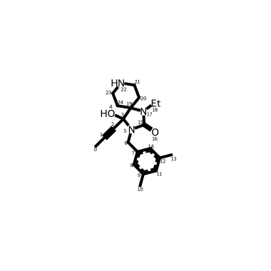 CC#CC1(O)N(Cc2cc(C)cc(C)c2)C(=O)N(CC)C12CCNCC2